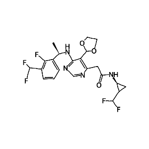 C[C@@H](Nc1ncnc(CC(=O)N[C@H]2CC2C(F)F)c1C1OCCO1)c1cccc(C(F)F)c1F